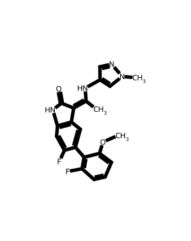 COc1cccc(F)c1-c1cc2c(cc1F)NC(=O)/C2=C(/C)Nc1cnn(C)c1